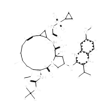 CC[C@@H]1C[C@H](C)CC/C=C\C2C[C@@]2(C(=O)NS(=O)(=O)C2CC2)NC(=O)[C@@H]2C[C@@H](Oc3nc4cc(OC)ccc4nc3C(C)C)CN2C(=O)[C@H]1NC(=O)OC(C)(C)C